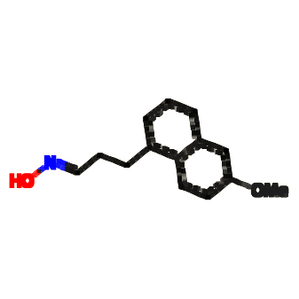 COc1ccc2c(CCC=NO)cccc2c1